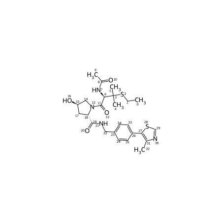 CCSC(C)(C)[C@H](NC(C)=O)C(=O)N1C[C@H](O)C[C@H]1C(=O)NCc1ccc(-c2scnc2C)cc1